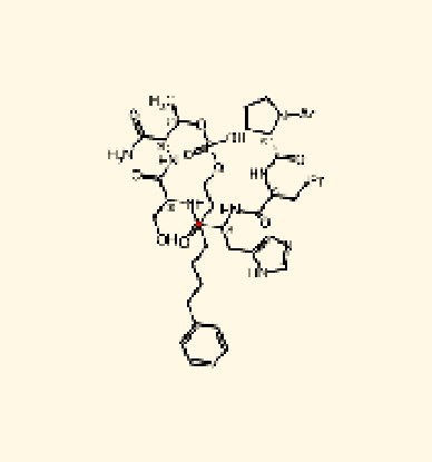 CC(=O)N1CCC[C@H]1C(=O)N[C@@H](CC(C)C)C(=O)N[C@@H](Cc1cnc[nH]1)C(=O)N[C@@H](CO)C(=O)N[C@H](C(N)=O)[C@@H](C)OP(=O)(O)OCCCCCCCc1ccccc1